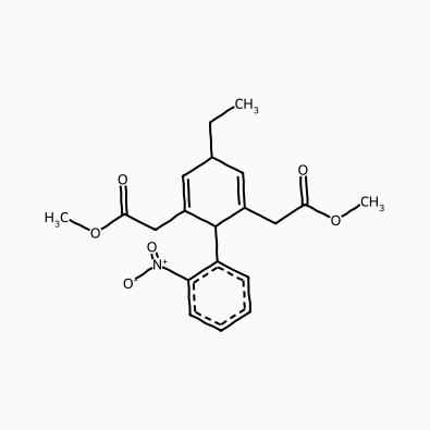 CCC1C=C(CC(=O)OC)C(c2ccccc2[N+](=O)[O-])C(CC(=O)OC)=C1